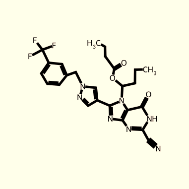 CCCC(=O)OC(CCC)n1c(-c2cnn(Cc3cccc(C(F)(F)F)c3)c2)nc2nc(C#N)[nH]c(=O)c21